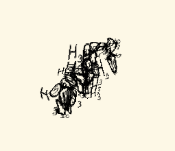 C[C@@H]1C[C@H]([C@H](Oc2ncccn2)C(C)(C)O)O[C@H]2C1[C@@]1(C)CC[C@]3(C)[C@@H](CC[C@H]4C(C)(C)[C@@H](O[C@H]5CN(C6COC6)CCO5)CC[C@@]43C)[C@]1(C)[C@H]2O